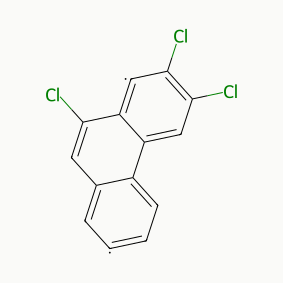 Clc1[c]c2c(Cl)cc3c[c]ccc3c2cc1Cl